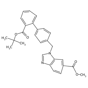 COC(=O)c1ccc2ncn(Cc3ccc(-c4ccccc4C(=O)OC(C)(C)C)cc3)c2c1